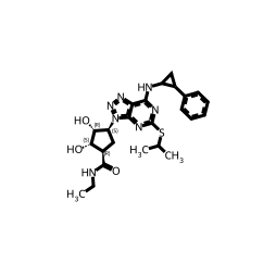 CCNC(=O)[C@@H]1C[C@H](n2nnc3c(NC4CC4c4ccccc4)nc(SC(C)C)nc32)[C@@H](O)[C@H]1O